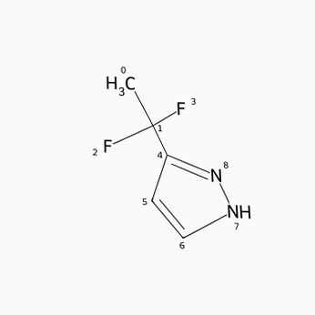 CC(F)(F)c1cc[nH]n1